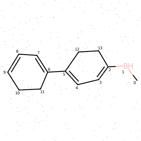 CBC1=CC=C(C2=CC=CCC2)CC1